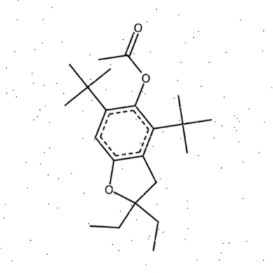 CCC1(CC)Cc2c(cc(C(C)(C)C)c(OC(C)=O)c2C(C)(C)C)O1